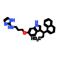 O=C(O)CC(c1cccc2ccccc12)c1c[nH]c2cc(OCCCNc3ncc[nH]3)ccc12